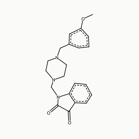 COc1cccc(CN2CCN(CN3C(=O)C(=O)c4ccccc43)CC2)c1